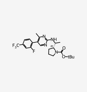 Cc1nc(NC(C)[C@H]2CCCN2C(=O)OC(C)(C)C)ncc1-c1ccc(C(F)(F)F)cc1F